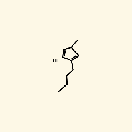 CCCCC1=C[C](C)C=C1.[Hf]